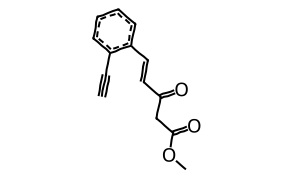 C#Cc1ccccc1C=CC(=O)CC(=O)OC